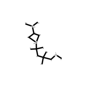 COCC(C)(C)CC(C)(C)N1CC(N(C)C)C1